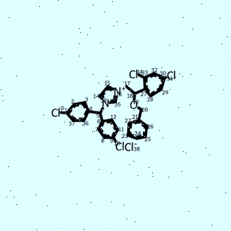 Clc1ccc(C(c2ccc(Cl)cc2)n2cc[n+](CC(OCc3ccccc3)c3ccc(Cl)cc3Cl)c2)cc1.[Cl-]